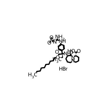 Br.CCCCCCCCCCOC(=O)[C@@](CC)(N[C@H]1CCCN2CCC[C@@H](C(=O)O)N2C1=O)c1ccc(NC(N)=N[N+](=O)[O-])cc1